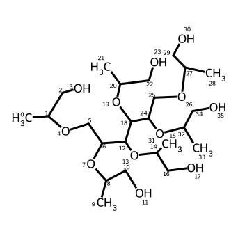 CC(CO)OCC(OC(C)CO)C(OC(C)CO)C(OC(C)CO)C(COC(C)CO)OC(C)CO